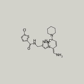 C=C(/C=C\C(=C/N)n1cc(CNC(=O)c2ccc(Cl)s2)nn1)N1CCCCC1